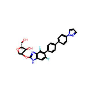 OC[C@H]1OCC(Oc2nc3c(F)c(-c4ccc(-c5ccc(-n6cccn6)cc5)cc4)c(F)cc3[nH]2)C1O